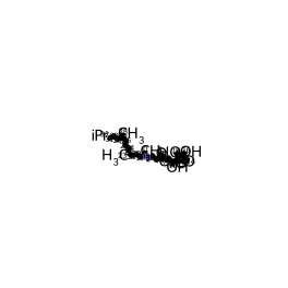 C/C(=C\CCC(=O)OCC(O)C1OC(=O)C(O)=C1O)CCCC(C)CCCC(C)CCCC(C)C